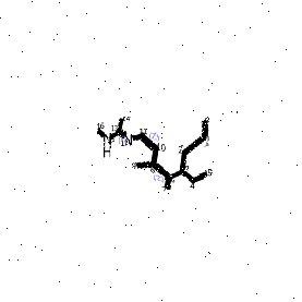 CCCC(CC)\C(C)=C(C)/C=C\N=C(/C)NC